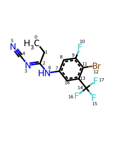 CC/C(=N\C#N)Nc1cc(F)c(Br)c(C(F)(F)F)c1